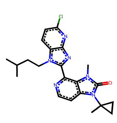 CC(C)CCn1c(-c2nccc3c2n(C)c(=O)n3C2(C)CC2)nc2nc(Cl)ccc21